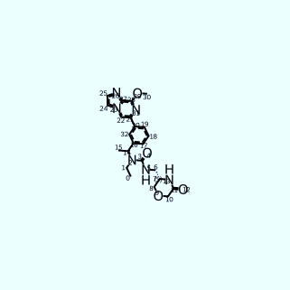 CCN(C(=O)NC[C@H]1COCC(=O)N1)C(C)c1cccc(-c2cn3ccnc3c(OC)n2)c1